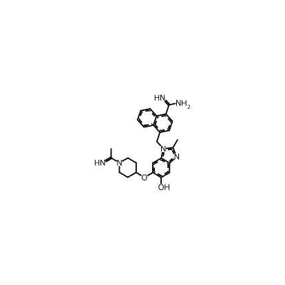 CC(=N)N1CCC(Oc2cc3c(cc2O)nc(C)n3Cc2ccc(C(=N)N)c3ccccc23)CC1